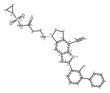 Cc1c(-c2ccccc2)cccc1-c1nc2cc3c(c(C#N)c2o1)CC[C@H]3NCCC(=O)NS(=O)(=O)C1CC1